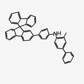 Cc1cc(-c2ccccc2)ccc1Nc1ccc(-c2ccc3c(c2)C2(c4ccccc4-c4ccccc42)c2ccccc2-3)cc1